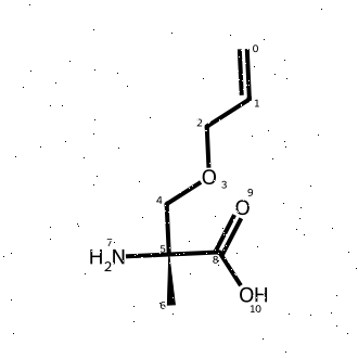 C=CCOC[C@@](C)(N)C(=O)O